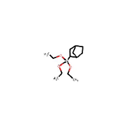 CCO[Si](OCC)(OCC)C1CC2CCC1C2